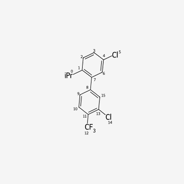 CC(C)c1ccc(Cl)cc1-c1ccc(C(F)(F)F)c(Cl)c1